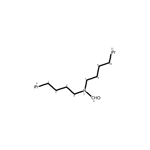 CC(C)CCCCN([C]=O)CCCCC(C)C